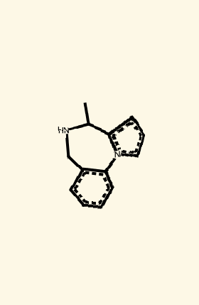 CC1NCc2ccccc2-n2cccc21